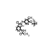 CC(=O)Nc1nccc2c1CN(Cc1cnc(OCC(F)(F)F)c(C)c1)C2=O